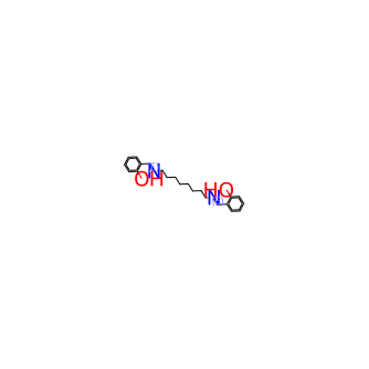 Oc1ccccc1/C=N/CCCCCCCC/N=C/c1ccccc1O